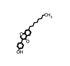 CCCCCCCCc1ccc2c(=O)c(-c3ccc(O)cc3)coc2c1